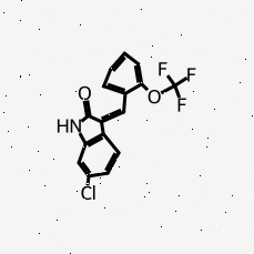 O=C1Nc2cc(Cl)ccc2C1=Cc1ccccc1OC(F)(F)F